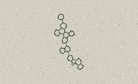 c1ccc(-c2ccc3c(c2)c2ccccc2c2c4ccc(-c5ccc(-c6ccc7oc8c9ccccc9ccc8c7c6)c6ccccc56)cc4c4ccccc4c32)cc1